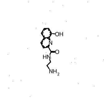 NCCNC(=O)c1ccc2cccc(O)c2n1